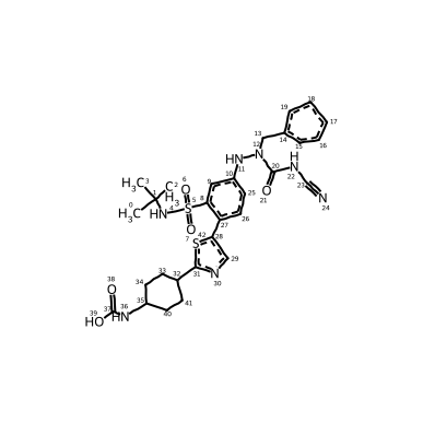 CC(C)(C)NS(=O)(=O)c1cc(NN(Cc2ccccc2)C(=O)NC#N)ccc1-c1cnc(C2CCC(NC(=O)O)CC2)s1